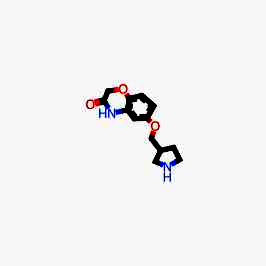 O=C1COc2ccc(OCC3CCNC3)cc2N1